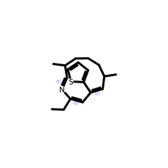 CCC1=C/C(c2cccs2)=C/C(C)CCCC(C)\C=N\1